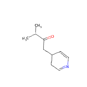 CC(C)C(=O)CC1C=CN=CC1